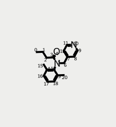 CCCC(=O)N(Cc1ccncc1)c1c(C)cccc1C